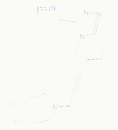 O=S1(=O)CCN(CC#Cc2ccc3nnc(-c4cscn4)n3c2)CC1